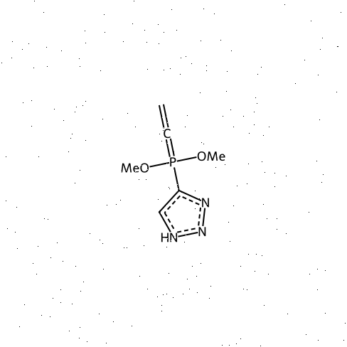 C=C=P(OC)(OC)c1c[nH]nn1